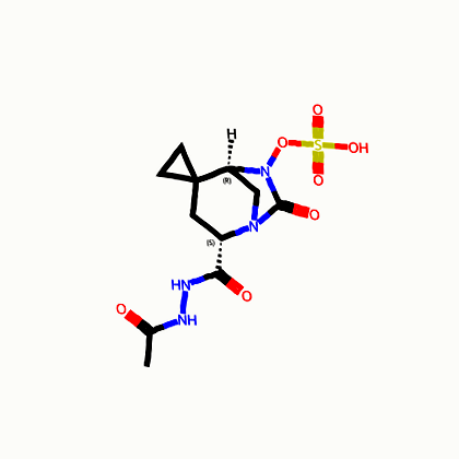 CC(=O)NNC(=O)[C@@H]1CC2(CC2)[C@@H]2CN1C(=O)N2OS(=O)(=O)O